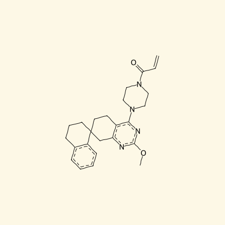 C=CC(=O)N1CCN(c2nc(OC)nc3c2CCC2(CCCc4ccccc42)C3)CC1